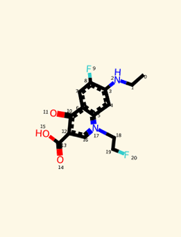 CCNc1cc2c(cc1F)c(=O)c(C(=O)O)cn2CCF